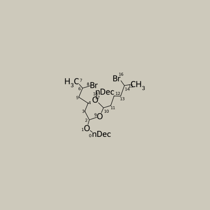 CCCCCCCCCCOC(CCCC(C)Br)OC(CCCC(C)Br)OCCCCCCCCCC